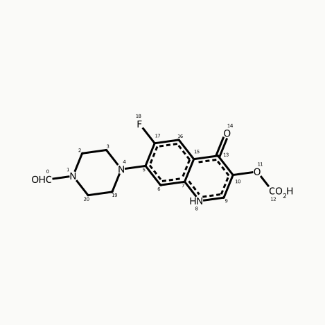 O=CN1CCN(c2cc3[nH]cc(OC(=O)O)c(=O)c3cc2F)CC1